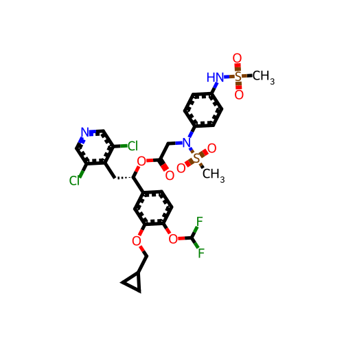 CS(=O)(=O)Nc1ccc(N(CC(=O)O[C@@H](Cc2c(Cl)cncc2Cl)c2ccc(OC(F)F)c(OCC3CC3)c2)S(C)(=O)=O)cc1